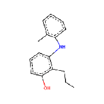 CCCc1c(O)cccc1Nc1ccccc1C